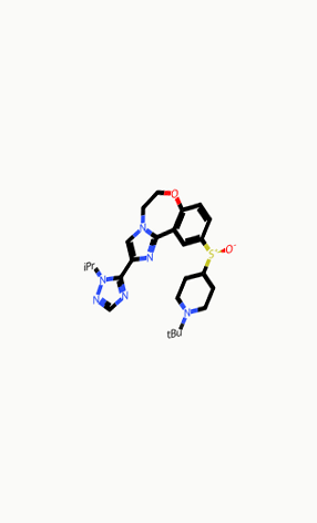 CC(C)n1ncnc1-c1cn2c(n1)-c1cc([S@@+]([O-])C3CCN(C(C)(C)C)CC3)ccc1OCC2